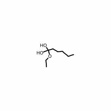 CCCCCC(O)(O)OCC